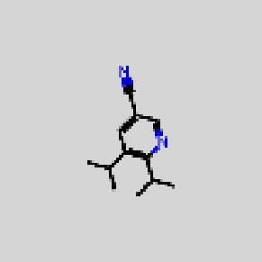 CC(C)c1cc(C#N)cnc1C(C)C